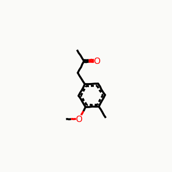 COc1cc(CC(C)=O)ccc1C